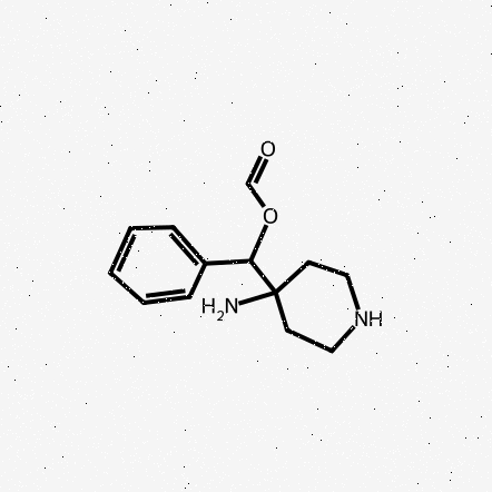 NC1(C(OC=O)c2ccccc2)CCNCC1